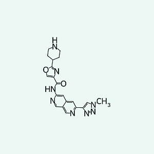 Cn1cc(-c2cc3cc(NC(=O)c4coc(C5CCNCC5)n4)ncc3cn2)nn1